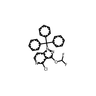 FC(F)Oc1nn(C(c2ccccc2)(c2ccccc2)c2ccccc2)c2ccnc(Cl)c12